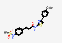 CCCS(=O)(=O)Nc1ccc(CCC(=O)Nc2nc(-c3ccc(OC)cc3)cs2)cc1